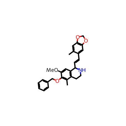 COc1cc2c(c(C)c1OCc1ccccc1)CCNC2/C=C/c1cc2c(cc1C)OCO2